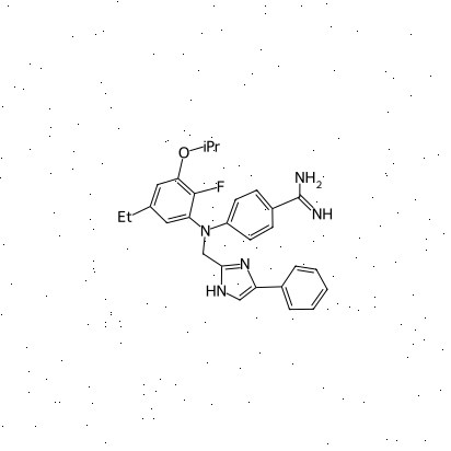 CCc1cc(OC(C)C)c(F)c(N(Cc2nc(-c3ccccc3)c[nH]2)c2ccc(C(=N)N)cc2)c1